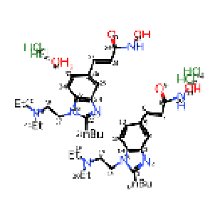 CCCCc1nc2cc(C=CC(=O)NO)ccc2n1CCN(CC)CC.CCCCc1nc2cc(C=CC(=O)NO)ccc2n1CCN(CC)CC.Cl.Cl.Cl.Cl.O